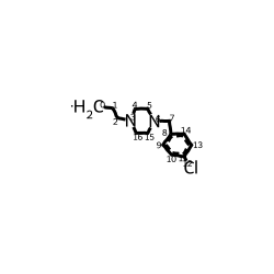 [CH2]CCN1CCN(Cc2ccc(Cl)cc2)CC1